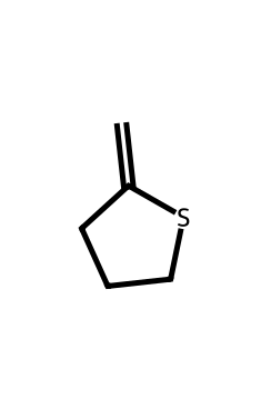 C=C1CCCS1